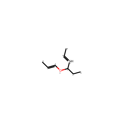 [CH2]CC(OC=CC)[SiH]=CC